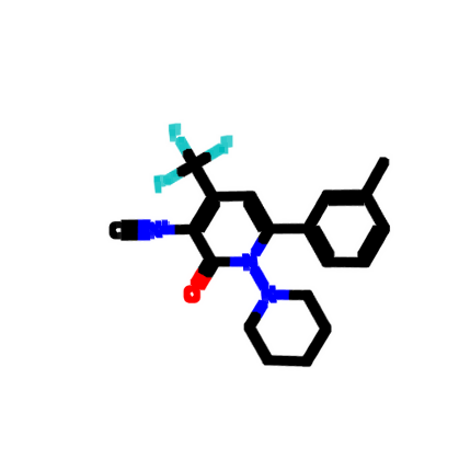 [C-]#[N+]c1c(C(F)(F)F)cc(-c2cccc(C)c2)n(N2CCCCC2)c1=O